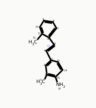 Cc1cc(/C=C/c2ccccc2C)ccc1N